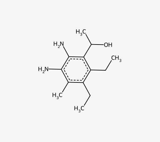 CCc1c(C)c(N)c(N)c(C(C)O)c1CC